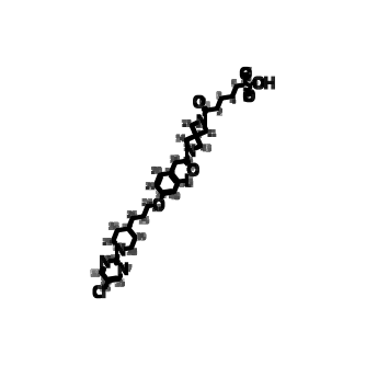 O=C(CCCCS(=O)(=O)O)N1CC2(C1)CN(C(=O)Cc1ccc(OCCCC3CCN(c4ncc(Cl)cn4)CC3)cc1F)C2